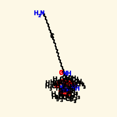 CCCC(NC(=O)OC(C)(C)C)C(NC(=O)OC(C)(C)C)(C(CCCCCCNC(=O)CCCCCCCCCCCCCCCCCCCCCCCCCCCCCCCCCCCN)CN(C(=O)OC(C)(C)C)C(CCC)(NC(=O)OC(C)(C)C)C(C)(CC)NC(=O)OC(C)(C)C)C(C)(CC)NC(=O)OC(C)(C)C